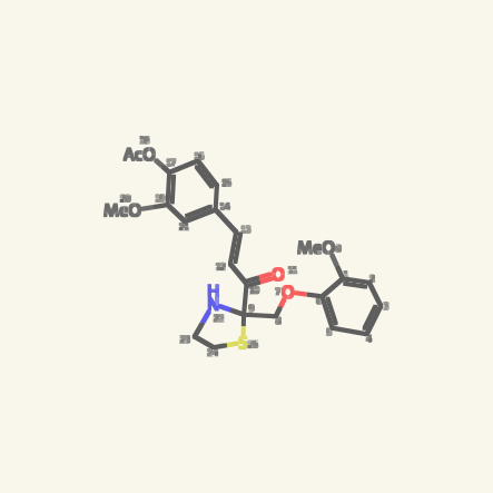 COc1ccccc1OCC1(C(=O)C=Cc2ccc(OC(C)=O)c(OC)c2)NCCS1